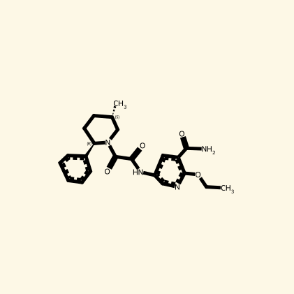 CCOc1ncc(NC(=O)C(=O)N2C[C@@H](C)CC[C@@H]2c2ccccc2)cc1C(N)=O